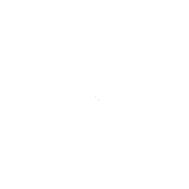 [CH2-][NH+]1CC=CC1